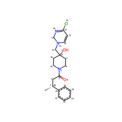 C[C@H](CC(=O)N1CCC(O)(CN2C=CC(Cl)=NC2)CC1)c1ccccc1